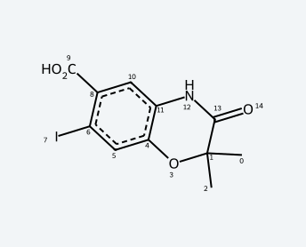 CC1(C)Oc2cc(I)c(C(=O)O)cc2NC1=O